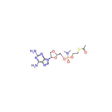 CC(=O)SCCOP(=O)(OC[C@@H]1OC[C@H](n2cnc3c(N)nc(N)nc32)O1)N(C)C